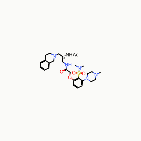 CC(=O)N[C@H](CNC(=O)COc1cccc(N2CCN(C)CC2)c1S(=O)(=O)N(C)C)CN1CCc2ccccc2C1